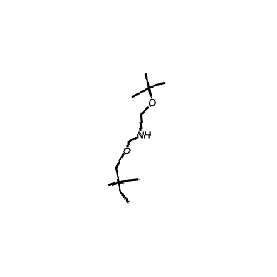 CC(C)(C)COCNCOC(C)(C)C